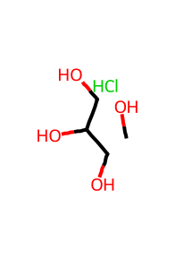 CO.Cl.OCC(O)CO